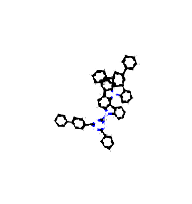 c1ccc(-c2ccc(-c3nc(-c4ccccc4)nc(-n4c5ccccc5c5c4ccc4c6ccccc6n(-c6ccccc6-c6cc(-c7ccccc7)cc(-c7ccccc7)c6)c45)n3)cc2)cc1